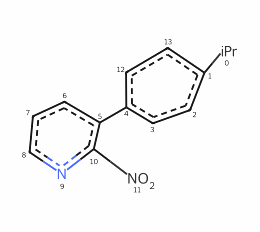 CC(C)c1ccc(-c2cccnc2[N+](=O)[O-])cc1